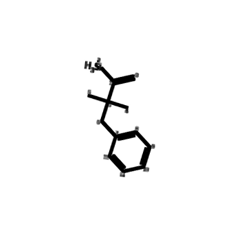 C=C([SiH3])C(C)(C)Cc1ccccc1